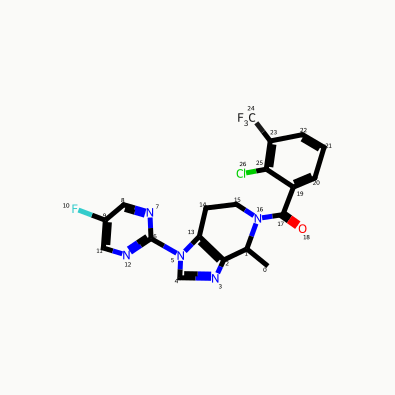 CC1c2ncn(-c3ncc(F)cn3)c2CCN1C(=O)c1cccc(C(F)(F)F)c1Cl